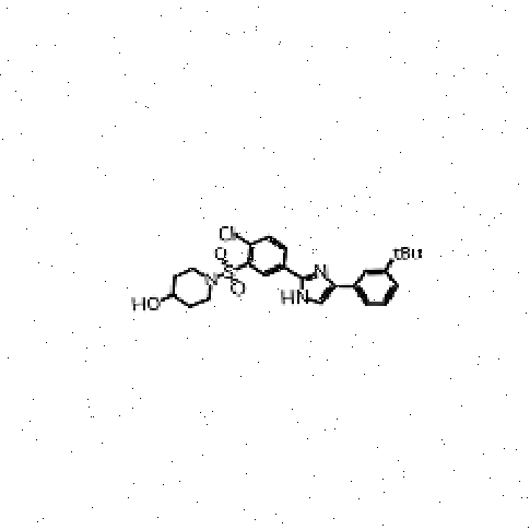 CC(C)(C)c1cccc(-c2c[nH]c(-c3ccc(Cl)c(S(=O)(=O)N4CCC(O)CC4)c3)n2)c1